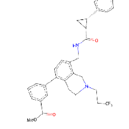 COC(=O)c1cccc(-c2ccc(CNC(=O)[C@@H]3C[C@@H]3c3ccccc3)c3c2CCN(CCC(F)(F)F)C3)c1